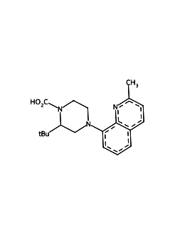 Cc1ccc2cccc(N3CCN(C(=O)O)C(C(C)(C)C)C3)c2n1